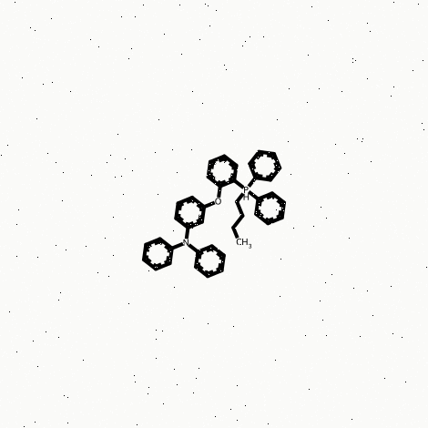 CCCC[PH](c1ccccc1)(c1ccccc1)c1ccccc1Oc1cccc(N(c2ccccc2)c2ccccc2)c1